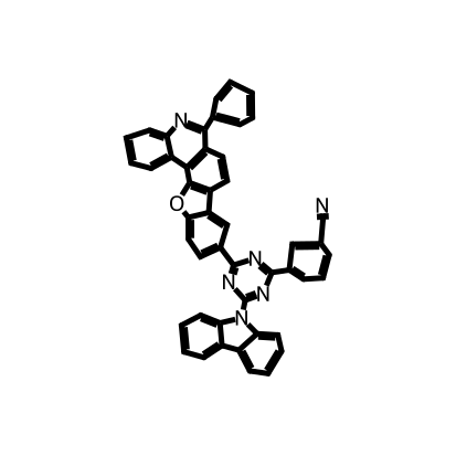 N#Cc1cccc(-c2nc(-c3ccc4oc5c(ccc6c(-c7ccccc7)nc7ccccc7c65)c4c3)nc(-n3c4ccccc4c4ccccc43)n2)c1